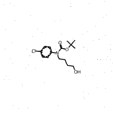 CC(C)(C)OC(=O)N(CCCCO)c1ccc(Cl)cc1